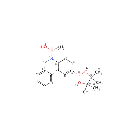 CB(O)N(Cc1ccccc1)C1CC=C(B2OC(C)(C)C(C)(C)O2)CC1